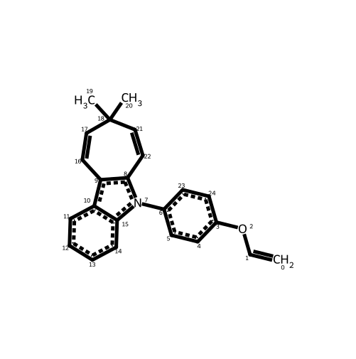 C=COc1ccc(-n2c3c(c4ccccc42)C=CC(C)(C)C=C3)cc1